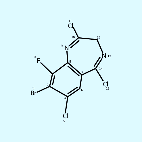 Fc1c(Br)c(Cl)cc2c1N=C(Cl)CN=C2Cl